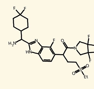 CCS(=O)(=O)CCC(C(=O)N1CC(F)(F)C(F)(F)C1)c1ccc2[nH]c(C(N)C3CCC(F)(F)CC3)nc2c1F